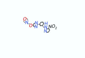 O=[N+]([O-])c1cccnc1NCc1cccc(-c2ncc(OCCN3CCOCC3)cn2)c1